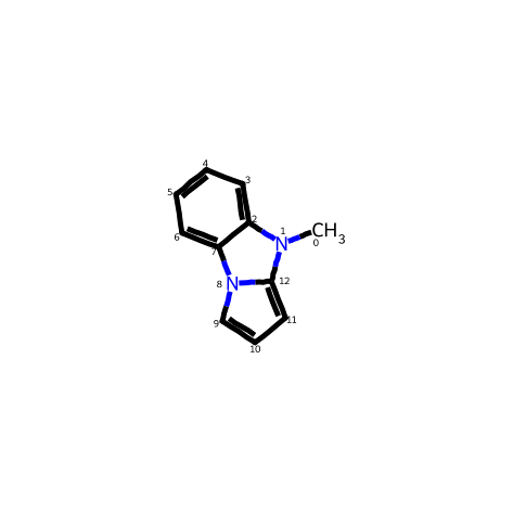 Cn1c2ccccc2n2cccc12